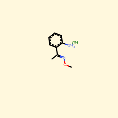 CON=C(C)c1ccccc1N.Cl